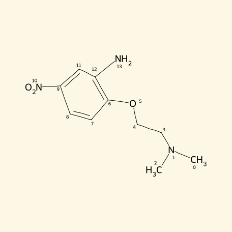 CN(C)CCOc1ccc([N+](=O)[O-])cc1N